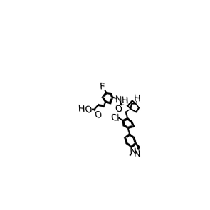 Cn1ncc2cc(-c3ccc(C[C@@]45CC[C@H](C[C@H]4C(=O)Nc4cc(F)cc(/C=C/C(=O)O)c4)C5)c(Cl)c3)ccc21